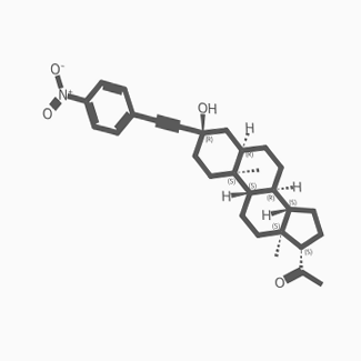 CC(=O)[C@H]1CC[C@H]2[C@@H]3CC[C@@H]4C[C@@](O)(C#Cc5ccc([N+](=O)[O-])cc5)CC[C@]4(C)[C@H]3CC[C@]12C